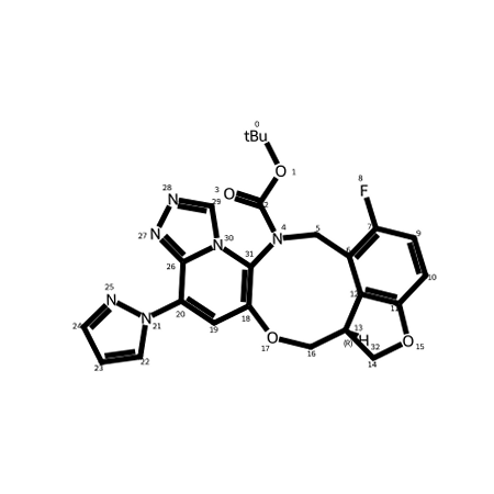 CC(C)(C)OC(=O)N1Cc2c(F)ccc3c2[C@H](CO3)COc2cc(-n3cccn3)c3nncn3c21